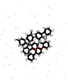 Cc1ccc(C2(c3ccc(C)cc3)c3ccccc3-c3ccc(N(c4ccccc4-c4ccc(-c5ccccc5)cc4)c4cccc5c4oc4ccccc45)cc32)cc1